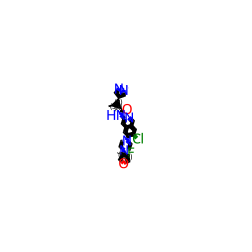 C[C@@H]1[C@@H](C(=O)Nc2cc3cc(N4CCN([C@]5(C)COC[C@@H]5F)CC4)c(Cl)cc3cn2)[C@@H]1c1cnn(C)c1